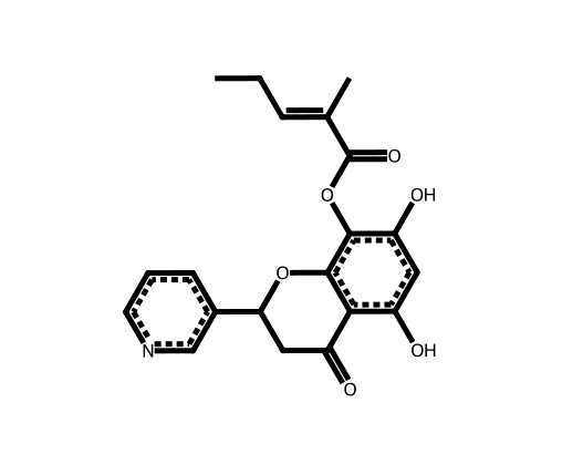 CCC=C(C)C(=O)Oc1c(O)cc(O)c2c1OC(c1cccnc1)CC2=O